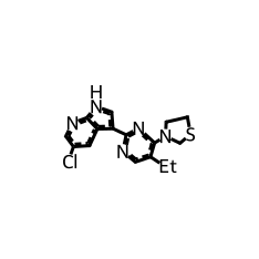 CCc1cnc(-c2c[nH]c3ncc(Cl)cc23)nc1N1CCSC1